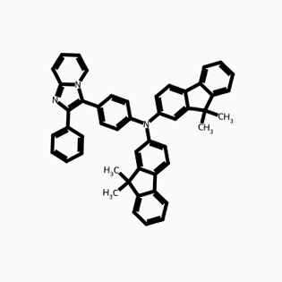 CC1(C)c2ccccc2-c2ccc(N(c3ccc(-c4c(-c5ccccc5)nc5ccccn45)cc3)c3ccc4c(c3)C(C)(C)c3ccccc3-4)cc21